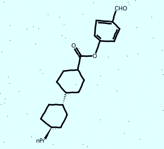 CCC[C@H]1CC[C@H](C2CCC(C(=O)Oc3ccc(C=O)cc3)CC2)CC1